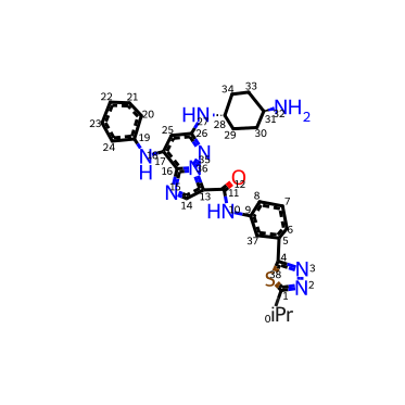 CC(C)c1nnc(-c2cccc(NC(=O)c3cnc4c(Nc5ccccc5)cc(N[C@H]5CC[C@H](N)CC5)nn34)c2)s1